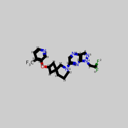 FC(F)Cn1ncc2ncc(N3CCCC4(CC(Oc5cnccc5C(F)(F)F)C4)C3)nc21